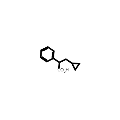 O=C(O)C(CC1CC1)c1ccccc1